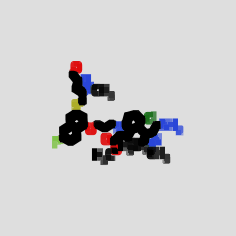 COC(=O)c1c(C)c2c(-c3c(CN)nn(C)c3C)c(Cl)ccc2n1CCCOc1cc(SCc2cc(C=O)nn2C)cc2cc(F)ccc12